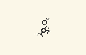 NC(=O)c1ccc(CN2CCC[C@H](O)C2)c(C(F)(F)F)c1